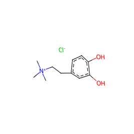 C[N+](C)(C)CCc1ccc(O)c(O)c1.[Cl-]